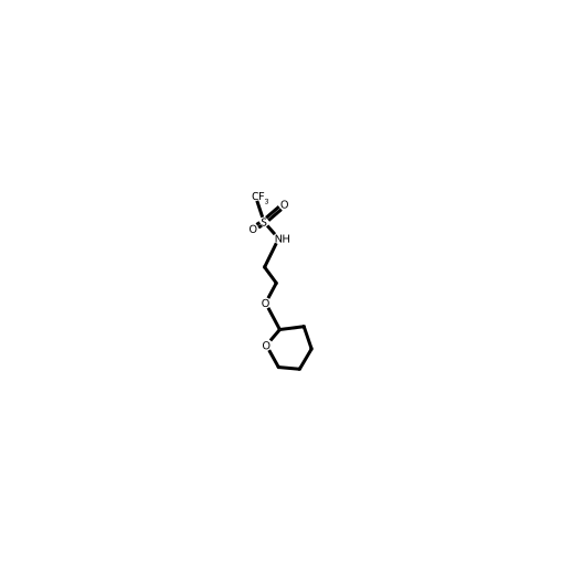 O=S(=O)(NCCOC1CCCCO1)C(F)(F)F